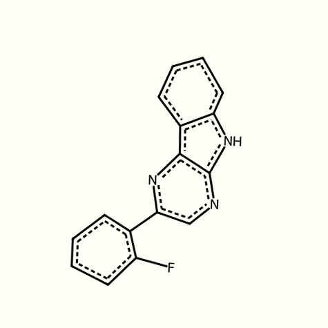 Fc1ccccc1-c1cnc2[nH]c3ccccc3c2n1